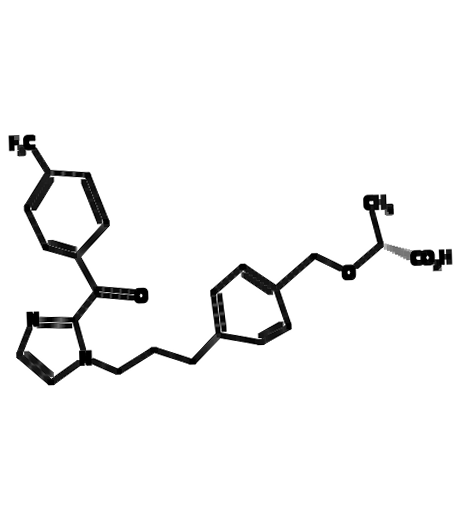 C[C@@H](OCc1ccc(CCCn2ccnc2C(=O)c2ccc(C(F)(F)F)cc2)cc1)C(=O)O